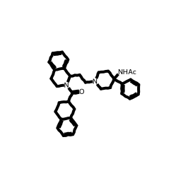 CC(=O)NC1(c2ccccc2)CCN(CCC2c3ccccc3CCN2C(=O)C2CCc3ccccc3C2)CC1